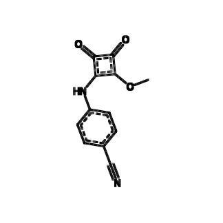 COc1c(Nc2ccc(C#N)cc2)c(=O)c1=O